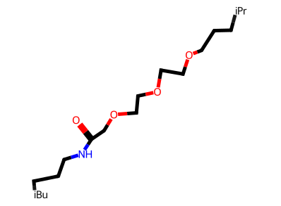 CCC(C)CCCNC(=O)COCCOCCOCCCC(C)C